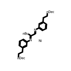 CCCCCCCCCCCCc1cccc(/N=C/C(CCCC)=N/c2cccc(CCCCCCCCCCCC)c2)c1.[Ni]